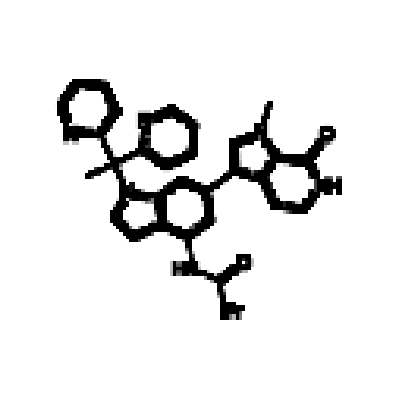 CC(C)C(=O)Nc1cc(-c2cn(C)c3c(=O)[nH]ccc23)cc2c1ccn2C(C)(c1ccccn1)c1ccccn1